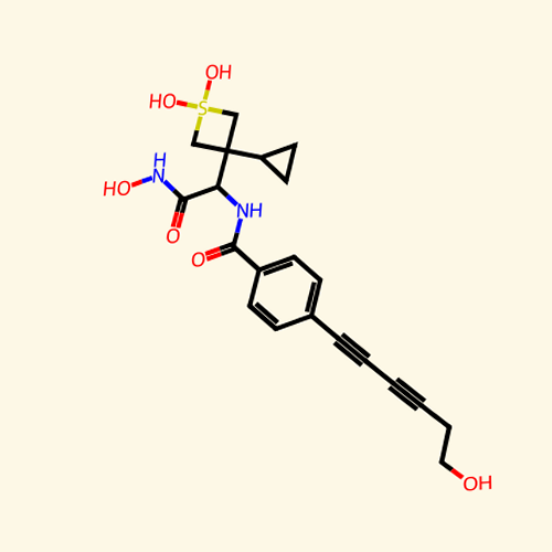 O=C(NC(C(=O)NO)C1(C2CC2)CS(O)(O)C1)c1ccc(C#CC#CCCO)cc1